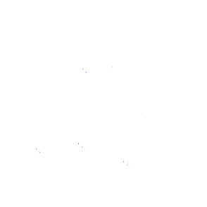 O=P1(c2ccccc2)c2ccccc2C2(c3ccccc3N(c3ccccc3)c3cc(-c4cc(-c5cccnc5)nc(-c5cccnc5)c4)ccc32)c2cc3c(cc21)oc1ccccc13